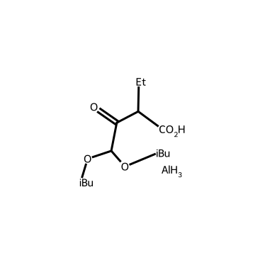 CCC(C)OC(OC(C)CC)C(=O)C(CC)C(=O)O.[AlH3]